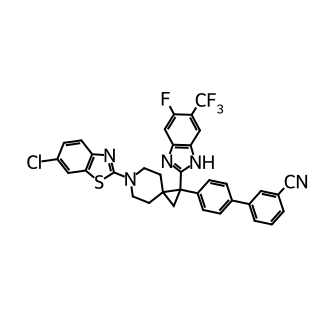 N#Cc1cccc(-c2ccc(C3(c4nc5cc(F)c(C(F)(F)F)cc5[nH]4)CC34CCN(c3nc5ccc(Cl)cc5s3)CC4)cc2)c1